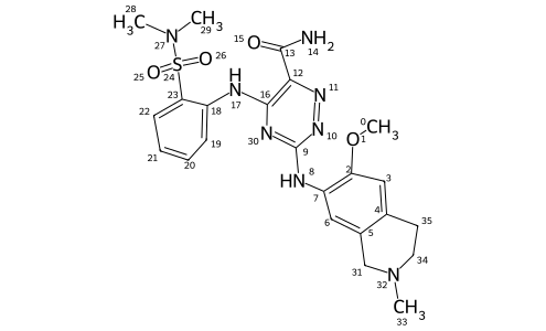 COc1cc2c(cc1Nc1nnc(C(N)=O)c(Nc3ccccc3S(=O)(=O)N(C)C)n1)CN(C)CC2